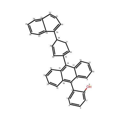 Oc1ccccc1-c1c2ccccc2c(C2=CCC(c3cccc4ccccc34)C=C2)c2ccccc12